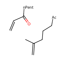 C=C(C)CCCC(C)=O.C=CC(=O)CCCCC